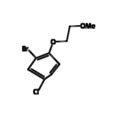 COCCOc1ccc(Cl)cc1Br